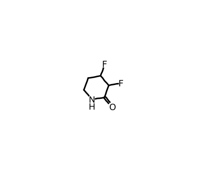 O=C1NCCC(F)C1F